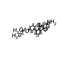 CC[C@@H](C)COc1cccc(-c2cccc3c2C(=O)N(CC(N)=O)C3=O)c1